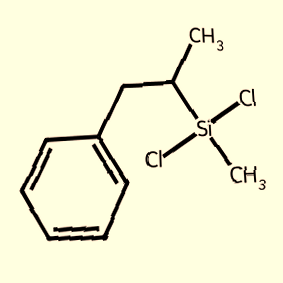 CC(Cc1ccccc1)[Si](C)(Cl)Cl